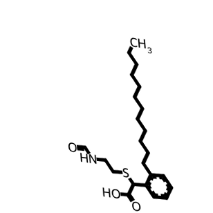 CCCCCCCCCCCCc1ccccc1C(SCCNC=O)C(=O)O